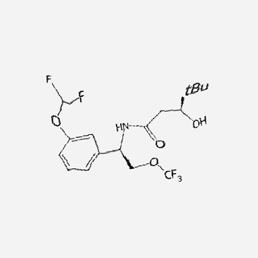 CC(C)(C)[C@@H](O)CC(=O)N[C@@H](COC(F)(F)F)c1cccc(OC(F)F)c1